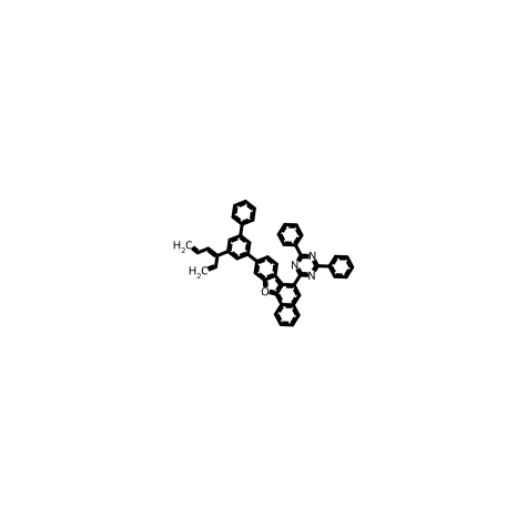 C=C/C=C(\C=C)c1cc(-c2ccccc2)cc(-c2ccc3c(c2)oc2c4ccccc4cc(-c4nc(-c5ccccc5)nc(-c5ccccc5)n4)c32)c1